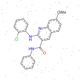 COc1ccc2cc(C(=O)Nc3ccccc3)c(Nc3ccccc3Cl)nc2c1